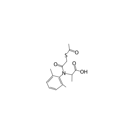 CC(=O)SCC(=O)N(c1c(C)cccc1C)C(C)C(=O)O